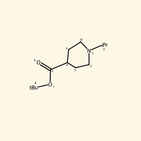 CC(C)N1CCC(C(=O)OC(C)(C)C)CC1